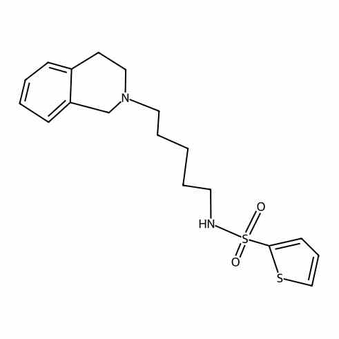 O=S(=O)(NCCCCCN1CCc2ccccc2C1)c1cccs1